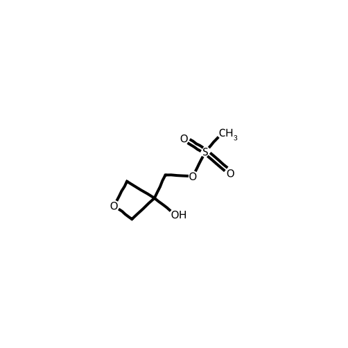 CS(=O)(=O)OCC1(O)COC1